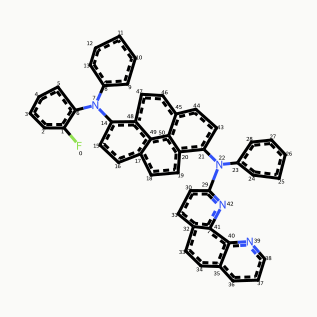 Fc1ccccc1N(c1ccccc1)c1ccc2ccc3c(N(c4ccccc4)c4ccc5ccc6cccnc6c5n4)ccc4ccc1c2c43